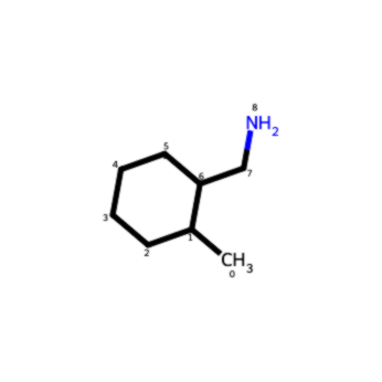 CC1CCC[CH]C1CN